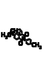 Cc1ccc(N2C(=O)c3cccc4c(N(C)C)ccc(c34)C2=O)cc1